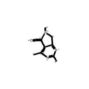 Cc1nc(C)c2c(n1)CN(C)C2=O